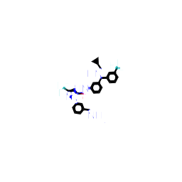 NCc1cccc(-n2nc(C(F)(F)F)cc2C(=O)Nc2cccc(C(NCC3CC3)c3cccc(C(F)(F)F)c3)c2)c1